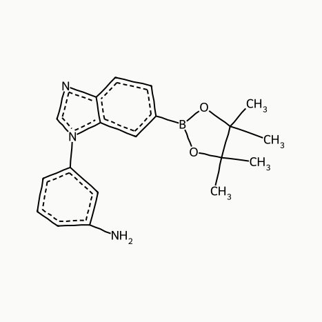 CC1(C)OB(c2ccc3ncn(-c4cccc(N)c4)c3c2)OC1(C)C